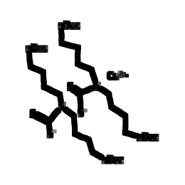 CCCCCCCCCCCCCCN(CCCCCCCCCCCCCC)C(=S)[S-].CCCCCCCCCCCCCCN(CCCCCCCCCCCCCC)C(=S)[S-].[Cu+2]